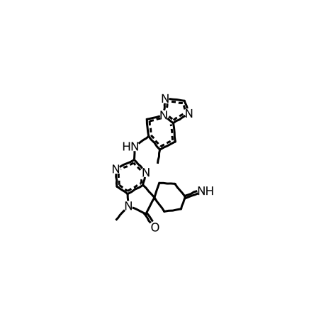 Cc1cc2ncnn2cc1Nc1ncc2c(n1)C1(CCC(=N)CC1)C(=O)N2C